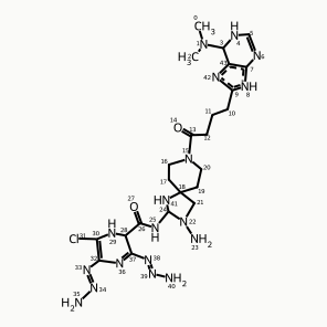 CN(C)C1NC=Nc2[nH]c(CCCC(=O)N3CCC4(CC3)CN(N)C(NC(=O)C3NC(Cl)=C(N=NN)N=C3N=NN)N4)nc21